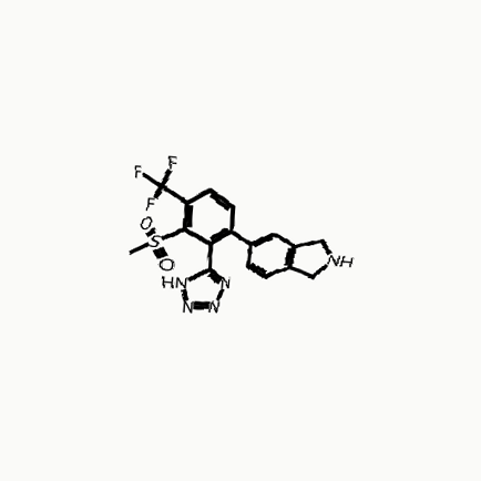 CS(=O)(=O)c1c(C(F)(F)F)ccc(-c2ccc3c(c2)CNC3)c1-c1nnn[nH]1